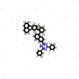 c1ccc(-c2nc(-c3ccccc3)nc(-c3ccc4c(-c5cccc6sc7cc8c(cc7c56)-c5cccc6cccc-8c56)cccc4c3)n2)cc1